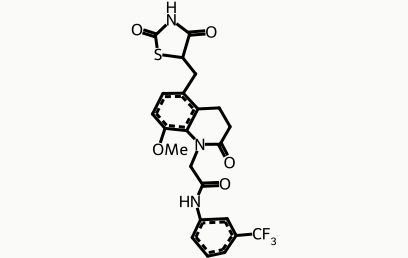 COc1ccc(CC2SC(=O)NC2=O)c2c1N(CC(=O)Nc1cccc(C(F)(F)F)c1)C(=O)CC2